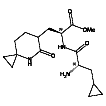 COC(=O)[C@H](CC1CCC2(CC2)NC1=O)NC(=O)[C@@H](N)CC1CC1